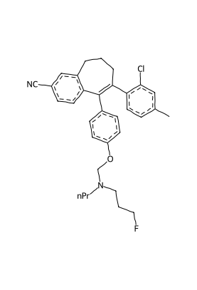 CCCN(CCCF)COc1ccc(C2=C(c3ccc(C)cc3Cl)CCCc3cc(C#N)ccc32)cc1